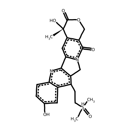 C[C@@]1(O)C(=O)OCc2c1cc1n(c2=O)Cc2c-1nc1ccc(O)cc1c2CC[SH](C)(C)=O